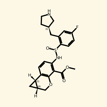 COC(=O)c1c(N[S+]([O-])c2ccc(F)cc2C[C@H]2CCNC2)ccc2c1OC[C@@H]1C[C@H]21